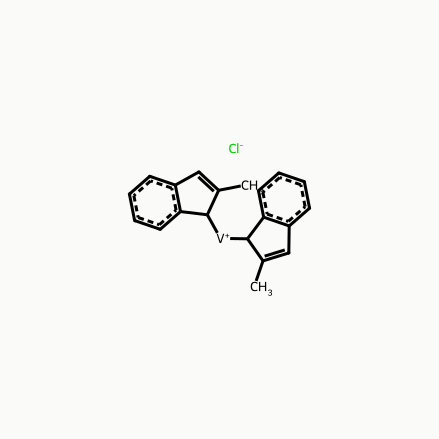 CC1=Cc2ccccc2[CH]1[V+][CH]1C(C)=Cc2ccccc21.[Cl-]